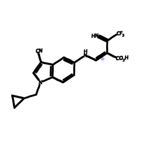 N#Cc1cn(CC2CC2)c2ccc(N/C=C(\C(=N)C(F)(F)F)C(=O)O)cc12